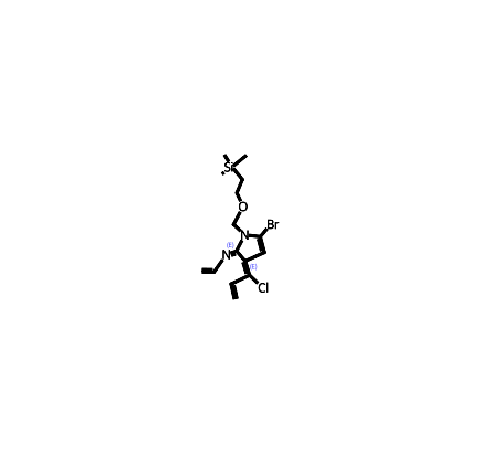 C=C/N=C1\C(=C(\Cl)C=C)C=C(Br)N1COCC[Si](C)(C)C